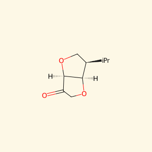 CC(C)[C@@H]1CO[C@@H]2C(=O)CO[C@@H]21